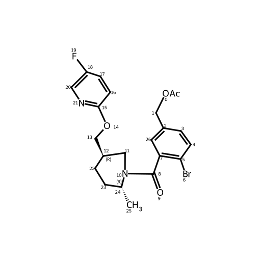 CC(=O)OCc1ccc(Br)c(C(=O)N2C[C@H](COc3ccc(F)cn3)CC[C@H]2C)c1